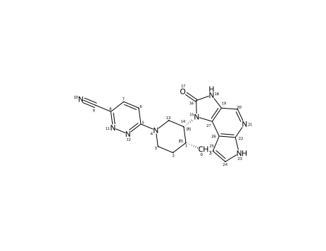 C[C@@H]1CCN(c2ccc(C#N)nn2)C[C@@H]1n1c(=O)[nH]c2cnc3[nH]ccc3c21